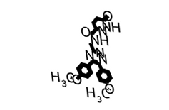 COc1ccc(-c2nnc(CNC(=O)C3=NNC(=O)CC3)nc2-c2ccc(OC)cc2)cc1